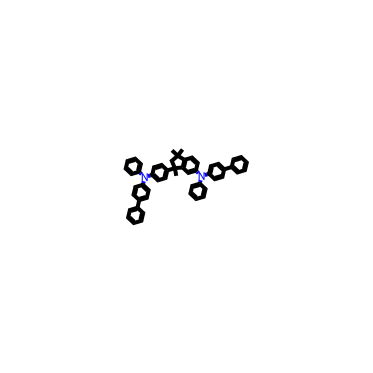 CC1(C)CC(C)(c2ccc(N(c3ccccc3)c3ccc(-c4ccccc4)cc3)cc2)c2cc(N(c3ccccc3)c3ccc(-c4ccccc4)cc3)ccc21